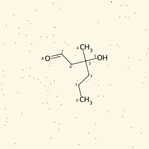 CCCC(C)(O)CC=O